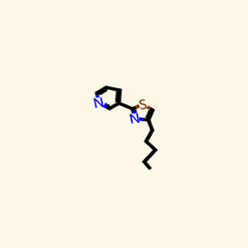 CCCCCc1csc(-c2cccnc2)n1